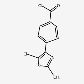 Cc1nc(-c2ccc(C(=O)Cl)cc2)c(Cl)s1